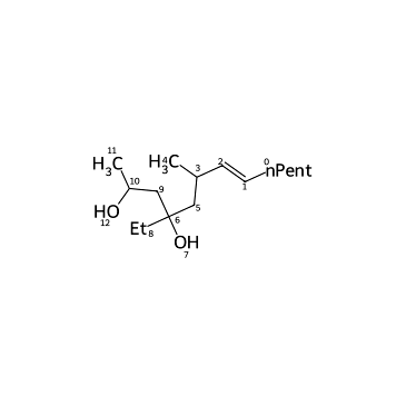 CCCCCC=CC(C)CC(O)(CC)CC(C)O